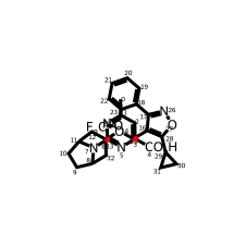 Cc1cc(C(=O)O)nc(N2C3CCC2CC(OCc2c(-c4ccccc4OC(F)(F)F)noc2C2CC2)C3)n1